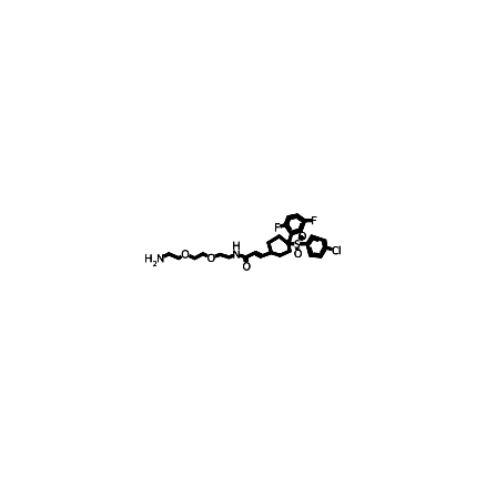 NCCOCCOCCNC(=O)C=CC1CCC(c2cc(F)ccc2F)(S(=O)(=O)c2ccc(Cl)cc2)CC1